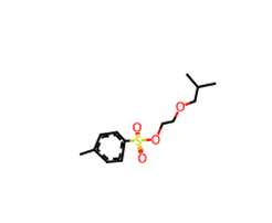 Cc1ccc(S(=O)(=O)OCCOCC(C)C)cc1